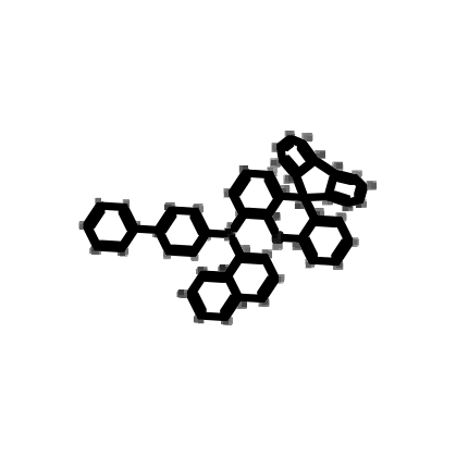 c1ccc(-c2ccc(N(c3cccc4c3Oc3ccccc3C43c4ccccc4-c4ccccc43)c3cccc4ccccc34)cc2)cc1